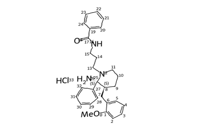 COc1ccccc1C[C@@H]1CCCN(CCCNC(=O)c2ccccc2)[C@]1(N)c1ccccc1.Cl